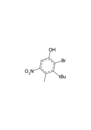 Cc1c([N+](=O)[O-])cc(O)c(Br)c1C(C)(C)C